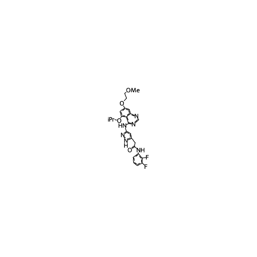 COCCOc1cc(OC(C)C)c2c(Nc3cc(CC(=O)Nc4cccc(F)c4F)[nH]n3)ncnc2c1